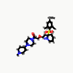 COc1cc(C)c(S(=O)(=O)[C@]2(CCOCC(=O)N3CCN(C4CCN(C)CC4)CC3)CCCCN2)c(C)c1